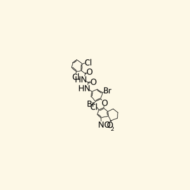 O=C(NC(=O)c1c(Cl)cccc1Cl)Nc1cc(Br)c(Oc2c(Cl)cc([N+](=O)[O-])c3c2CCCC3=O)c(Br)c1